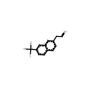 O=CCc1ccc2ccc(C(F)(F)F)cc2c1